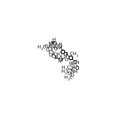 COC(=O)NC(C(=O)N1[C@@H]2C[C@@H]2C[C@H]1c1ncc(-c2ccc3c(c2)cc2n3C(c3cnc(C4CC4)s3)Oc3cc(-c4cnc([C@@H]5CCCN5C(=O)[C@@H](NC(=O)OC)C(C)C)[nH]4)cc(C)c3-2)[nH]1)C1CCOC(C)(C)C1